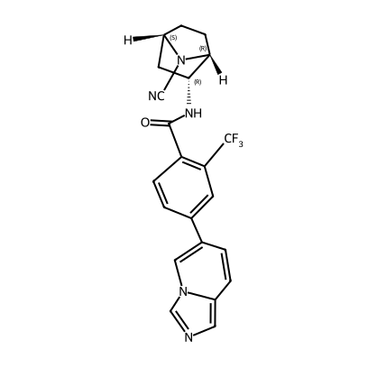 N#CN1[C@H]2CC[C@@H]1[C@H](NC(=O)c1ccc(-c3ccc4cncn4c3)cc1C(F)(F)F)C2